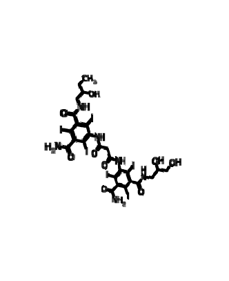 CCC(O)CNC(=O)c1c(I)c(NC(=O)CC(=O)Nc2c(I)c(C(N)=O)c(I)c(C(=O)NCC(O)CO)c2I)c(I)c(C(N)=O)c1I